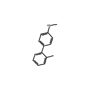 CNc1ccc(-c2ccccc2C)cc1